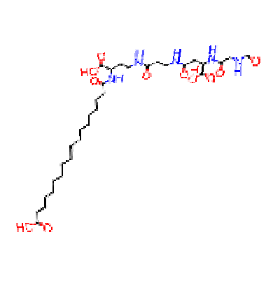 O=CNCC(=O)NC(CC(=O)NCCC(=O)NCCC(NC(=O)CCCCCCCCCCCCCCCCC(=O)O)C(=O)O)C(=O)O